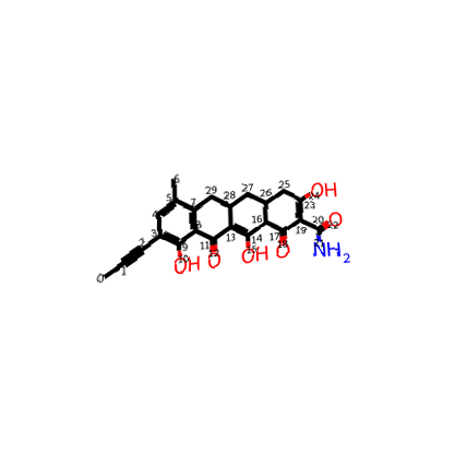 CC#Cc1cc(C)c2c(c1O)C(=O)C1=C(O)C3C(=O)C(C(N)=O)=C(O)CC3CC1C2